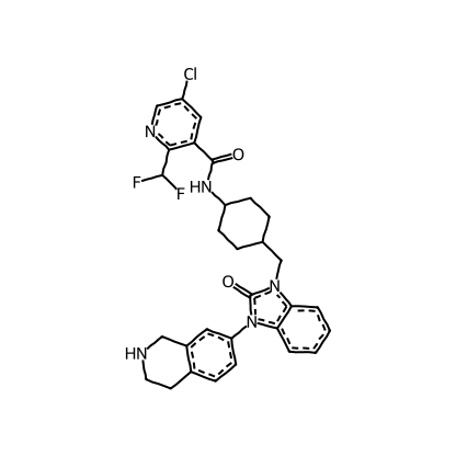 O=C(NC1CCC(Cn2c(=O)n(-c3ccc4c(c3)CNCC4)c3ccccc32)CC1)c1cc(Cl)cnc1C(F)F